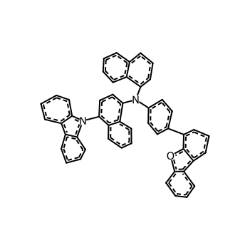 c1ccc2c(N(c3ccc(-c4cccc5c4oc4ccccc45)cc3)c3ccc(-n4c5ccccc5c5ccccc54)c4ccccc34)cccc2c1